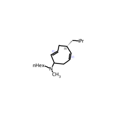 CCCCCCN(C)C1/C=C/C[C@H](CC(C)C)/C=C\C1